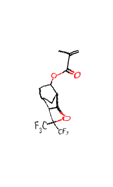 C=C(C)C(=O)OC1CC2CC1C1OC(C(F)(F)F)(C(F)(F)F)C21